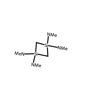 CN[Si]1(NC)C[Si](NC)(NC)C1